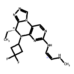 CC[C@@H]1c2nncn2-c2cnc(N/C=C\NC)nc2N1C1CC(F)(F)C1